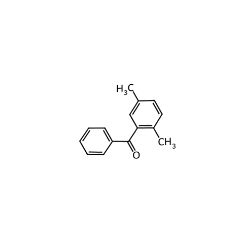 Cc1ccc(C)c(C(=O)c2ccccc2)c1